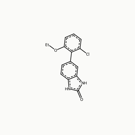 CCOc1cccc(Cl)c1-c1ccc2[nH]c(=O)[nH]c2c1